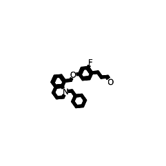 O=CCCc1ccc(OCc2cccc3c2N(CC2CCCCC2)CCC3)cc1F